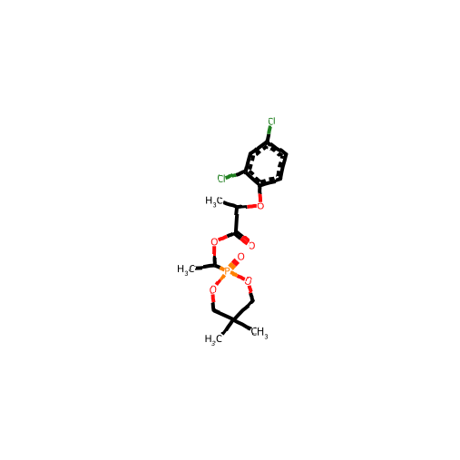 CC(Oc1ccc(Cl)cc1Cl)C(=O)OC(C)P1(=O)OCC(C)(C)CO1